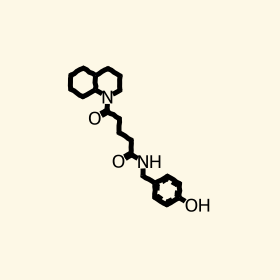 O=C(CCCC(=O)N1CCCC2CCCCC21)NCc1ccc(O)cc1